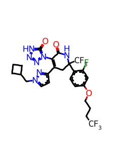 O=C1NC(c2ccc(OCCCC(F)(F)F)cc2F)(C(F)(F)F)CC(c2ccn(CC3CCC3)n2)=C1n1nn[nH]c1=O